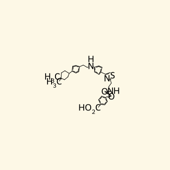 CC1(C)CCC(c2ccc(CCNc3ccc(-c4csc(CCNS(=O)(=O)c5ccc(C(=O)O)cc5)n4)cc3)cc2)CC1